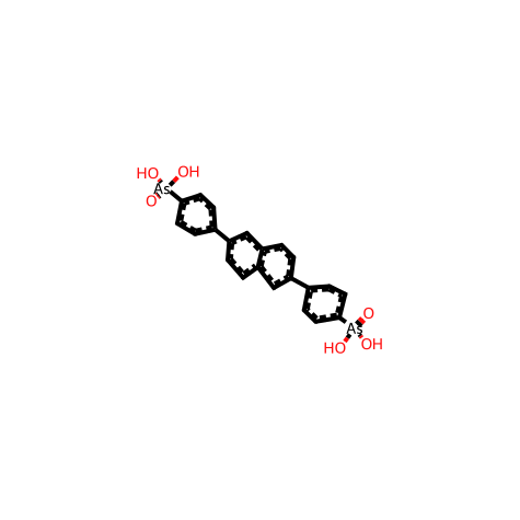 O=[As](O)(O)c1ccc(-c2ccc3cc(-c4ccc([As](=O)(O)O)cc4)ccc3c2)cc1